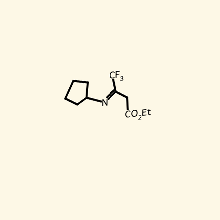 CCOC(=O)C/C(=N/C1CCCC1)C(F)(F)F